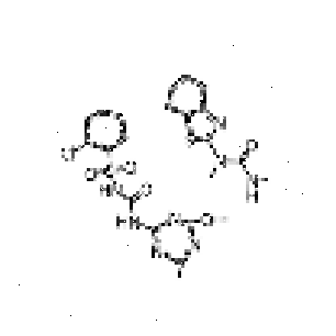 CNC(=O)N(C)c1nc2ccccc2s1.COc1nc(C)nc(NC(=O)NS(=O)(=O)c2ccccc2Cl)n1